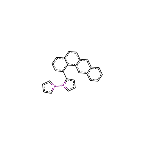 c1ccc2cc3c(ccc4cccc(-c5cccp5-p5cccc5)c43)cc2c1